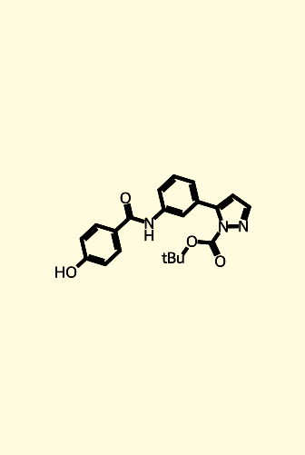 CC(C)(C)OC(=O)n1nccc1-c1cccc(NC(=O)c2ccc(O)cc2)c1